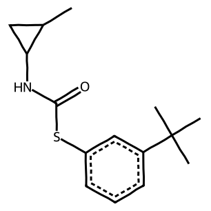 CC1CC1NC(=O)Sc1cccc(C(C)(C)C)c1